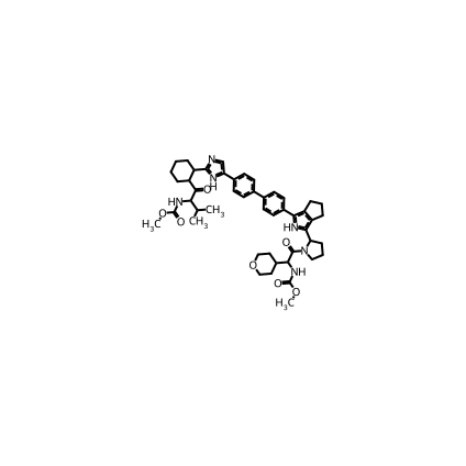 COC(=O)NC(C(=O)C1CCCCC1c1ncc(-c2ccc(-c3ccc(-c4[nH]c(C5CCCN5C(=O)C(NC(=O)OC)C5CCOCC5)c5c4CCC5)cc3)cc2)[nH]1)C(C)C